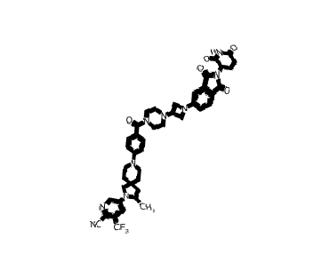 CC1CC2(CCN(c3ccc(C(=O)N4CCN(C5CN(c6ccc7c(c6)C(=O)N(C6CCC(=O)NC6=O)C7=O)C5)CC4)cc3)CC2)CN1c1cnc(C#N)c(C(F)(F)F)c1